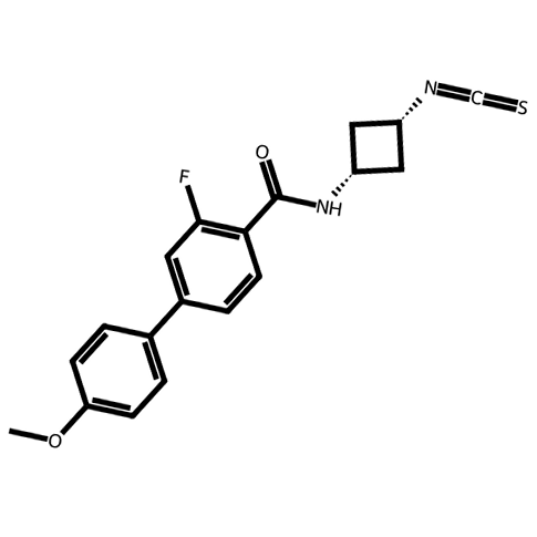 COc1ccc(-c2ccc(C(=O)N[C@H]3C[C@@H](N=C=S)C3)c(F)c2)cc1